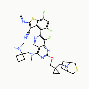 C=Nc1sc2c(F)cc(F)c(-c3ncc4c(N(C)CC5(N(C)C)CCC5)nc(OCC5(CN6C7CCC6CSC7)CC5)nc4c3F)c2c1C#N